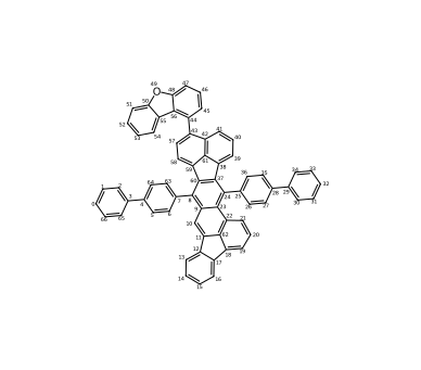 c1ccc(-c2ccc(-c3c4cc5c6ccccc6c6cccc(c4c(-c4ccc(-c7ccccc7)cc4)c4c7cccc8c(-c9cccc%10oc%11ccccc%11c9%10)ccc(c34)c87)c65)cc2)cc1